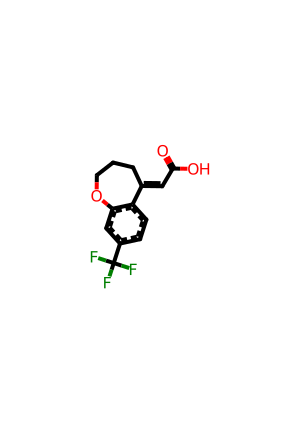 O=C(O)C=C1CCCOc2cc(C(F)(F)F)ccc21